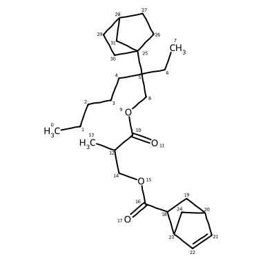 CCCCCC(CC)(COC(=O)C(C)COC(=O)C1CC2C=CC1C2)C12CCC(CC1)C2